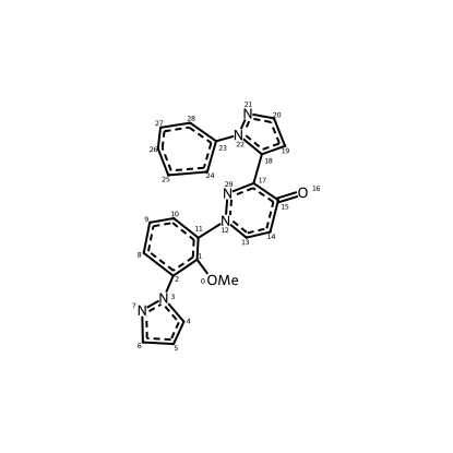 COc1c(-n2cccn2)cccc1-n1ccc(=O)c(-c2ccnn2-c2ccccc2)n1